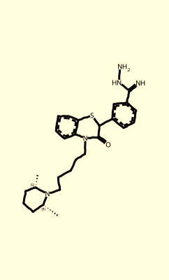 C[C@@H]1CCC[C@H](C)N1CCCCCN1C(=O)C(c2cccc(C(=N)NN)c2)Sc2ccccc21